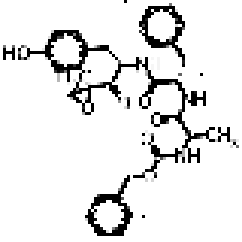 CC(NC(=O)OCc1ccccc1)C(=O)N[C@@H](Cc1ccccc1)C(=O)N[C@@H](Cc1ccc(O)cc1)C(=O)[C@@]1(C)CO1